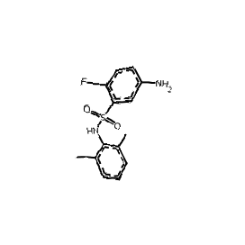 Cc1cccc(C)c1NS(=O)(=O)c1cc(N)ccc1F